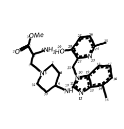 COC(=O)C(N)CN1CCC(Nc2nc3c(C)cccc3n2Cc2nc(C)ccc2O)CC1